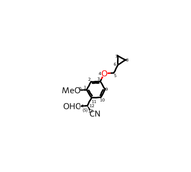 COc1cc(OCC2CC2)ccc1[C@@H](C#N)C=O